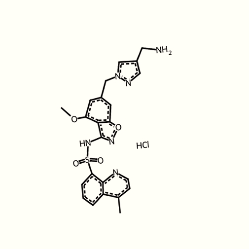 COc1cc(Cn2cc(CN)cn2)cc2onc(NS(=O)(=O)c3cccc4c(C)ccnc34)c12.Cl